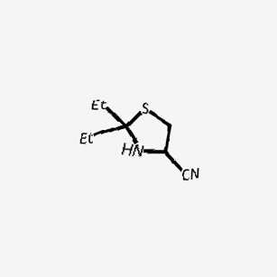 CCC1(CC)NC(C#N)CS1